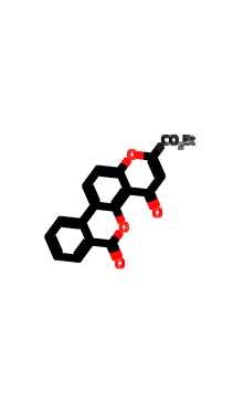 CCOC(=O)c1cc(=O)c2c(ccc3c4ccccc4c(=O)oc32)o1